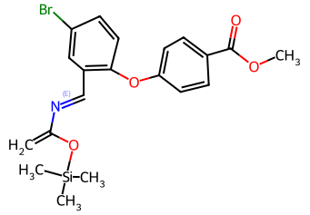 C=C(/N=C/c1cc(Br)ccc1Oc1ccc(C(=O)OC)cc1)O[Si](C)(C)C